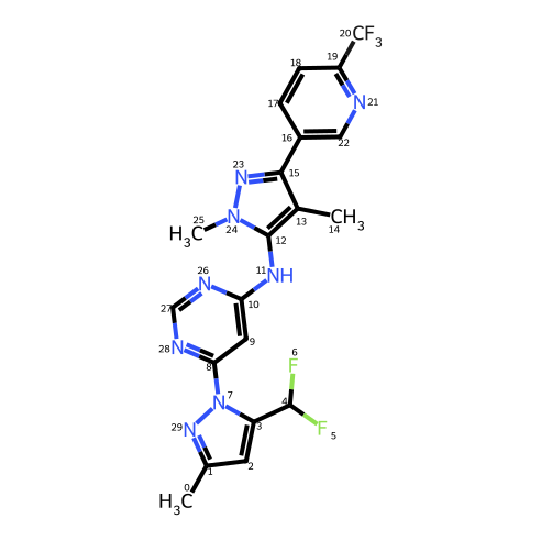 Cc1cc(C(F)F)n(-c2cc(Nc3c(C)c(-c4ccc(C(F)(F)F)nc4)nn3C)ncn2)n1